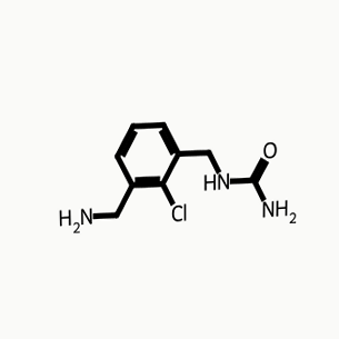 NCc1cccc(CNC(N)=O)c1Cl